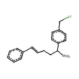 CC(=O)NC(CC/C=C/c1ccccc1)c1ccc(CCl)cc1